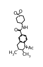 CC(=O)N1c2ccc(C(=O)NC3CCS(=O)(=O)CC3)cc2C[C@@H](C)[C@@H]1C